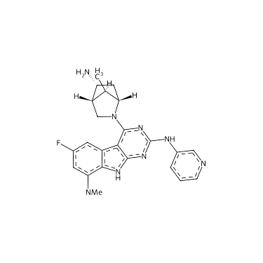 CNc1cc(F)cc2c1[nH]c1nc(Nc3cccnc3)nc(N3C[C@H]4[C@@H](C)[C@@H]3C[C@H]4N)c12